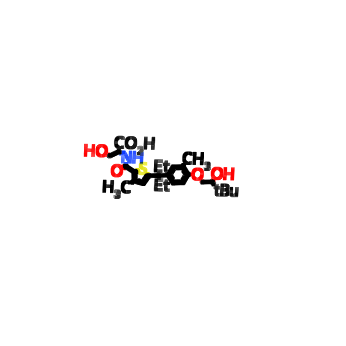 CCC(CC)(c1ccc(OCC(O)C(C)(C)C)c(C)c1)c1cc(C)c(C(=O)N[C@@H](CO)C(=O)O)s1